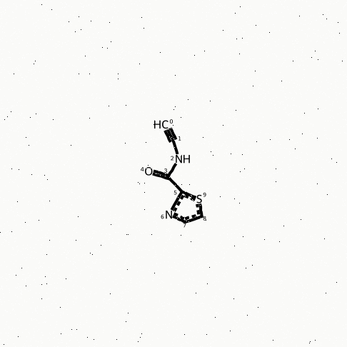 C#CNC(=O)c1nccs1